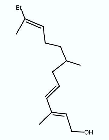 CCC(C)=CCCC(C)CC=CC(C)=CCO